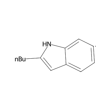 CCCCc1cc2cc[c]cc2[nH]1